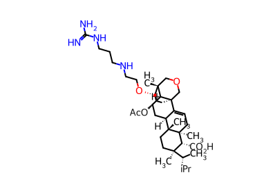 CC(=O)O[C@@H]1C[C@@]23COC[C@](C)([C@@H]2CC[C@H]2C3=CC[C@@]3(C)[C@H](C(=O)O)[C@@](C)([C@H](C)C(C)C)CC[C@]23C)[C@H]1OCCNCCCNC(=N)N